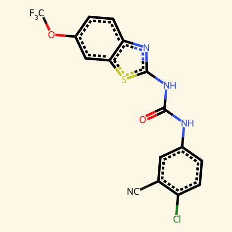 N#Cc1cc(NC(=O)Nc2nc3ccc(OC(F)(F)F)cc3s2)ccc1Cl